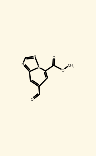 COC(=O)c1cc(C=O)cc2ncnn12